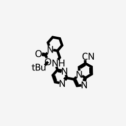 CC(C)(C)OC(=O)N1CCCCC1CNc1ccnc(-c2cnc3ccc(C#N)cn23)n1